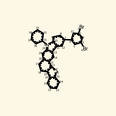 Brc1cc(Br)cc(-c2ccc3c(c2)c2cc4c(ccc5c6ccccc6sc45)cc2n3-c2ccccc2)c1